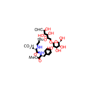 COC(=O)[C@H](Cc1ccccc1)NC(=O)[C@H](CC(=O)O)NCCC(C)(C)C.O=C[C@H](O)[C@@H](O)[C@H](O)[C@H](O)CO[C@H]1O[C@H](CO)[C@@H](O)[C@H](O)[C@H]1O